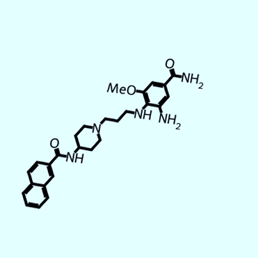 COc1cc(C(N)=O)cc(N)c1NCCCN1CCC(NC(=O)c2ccc3ccccc3c2)CC1